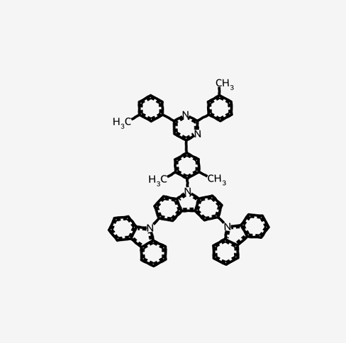 Cc1cccc(-c2cc(-c3cc(C)c(-n4c5ccc(-n6c7ccccc7c7ccccc76)cc5c5cc(-n6c7ccccc7c7ccccc76)ccc54)c(C)c3)nc(-c3cccc(C)c3)n2)c1